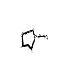 ClP1C=CCC1